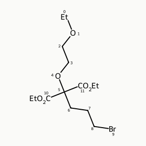 CCOCCOC(CCCBr)(C(=O)OCC)C(=O)OCC